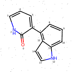 O=c1[nH]cccc1-c1cccc2[nH]ccc12